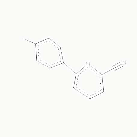 Cc1ccc(-c2cccc(C#N)n2)cc1